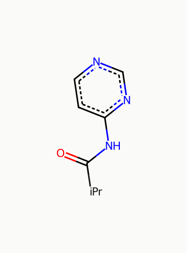 CC(C)C(=O)Nc1ccncn1